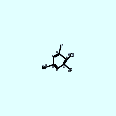 Fc1cc(Br)cc(I)c1Cl